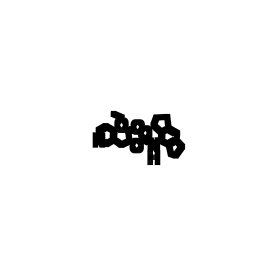 CCOC(=O)C(Cc1cccnc1)OC(=O)Nc1c2c(cc3c1CCC3)CCC2